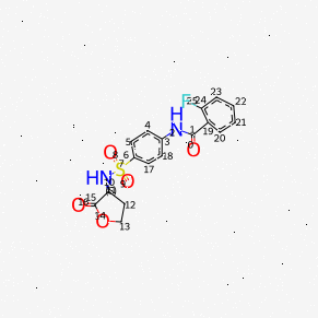 O=C(Nc1ccc(S(=O)(=O)N[C@H]2CCOC2=O)cc1)c1ccccc1F